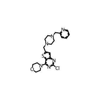 Clc1nc(N2CCOCC2)c2sc(CN3CCN(Cc4ccccn4)CC3)cc2n1